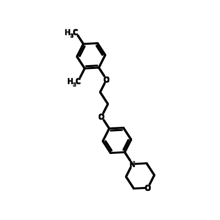 Cc1ccc(OCCOc2ccc(N3CCOCC3)cc2)c(C)c1